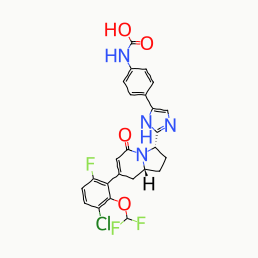 O=C(O)Nc1ccc(-c2cnc([C@@H]3CC[C@@H]4CC(c5c(F)ccc(Cl)c5OC(F)F)=CC(=O)N43)[nH]2)cc1